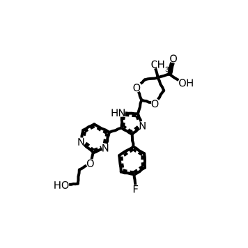 CC1(C(=O)O)COC(c2nc(-c3ccc(F)cc3)c(-c3ccnc(OCCO)n3)[nH]2)OC1